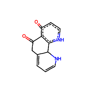 O=C1CC2=CC=CNC2c2[nH]ccc(=O)c21